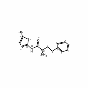 N[C@H](CCc1ccccc1)C(=O)Nc1ncc(Br)s1